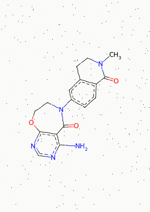 CN1CCc2cc(N3CCOc4ncnc(N)c4C3=O)ccc2C1=O